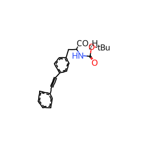 CC(C)(C)OC(=O)NC(Cc1ccc(C#Cc2ccccc2)cc1)C(=O)O